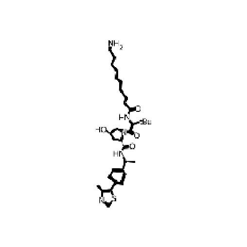 Cc1ncsc1-c1ccc([C@H](C)NC(=O)[C@@H]2C[C@@H](O)CN2C(=O)C(NC(=O)CCCCCCCCCN)C(C)(C)C)cc1